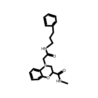 CNC(=O)C1CN(CC(=O)NCCCc2ccccc2)c2ccccc2O1